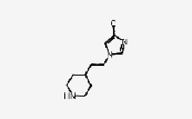 Clc1cn(CCC2CCNCC2)cn1